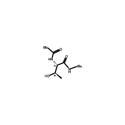 C[C@@H](O)[C@H](NC(=O)C(C)(C)C)C(=O)NC(C)(C)C